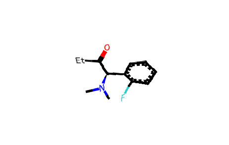 CCC(=O)[C@@H](c1ccccc1F)N(C)C